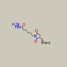 CCCC(C)SC1CC(=O)N(CCCCCC(=O)NN)C1=O